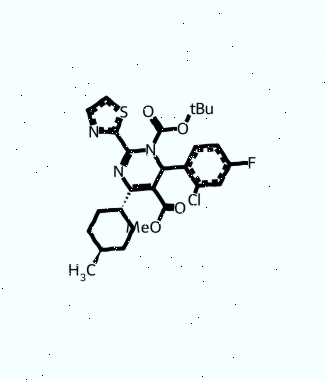 COC(=O)C1=C([C@H]2CC[C@H](C)CC2)N=C(c2nccs2)N(C(=O)OC(C)(C)C)C1c1ccc(F)cc1Cl